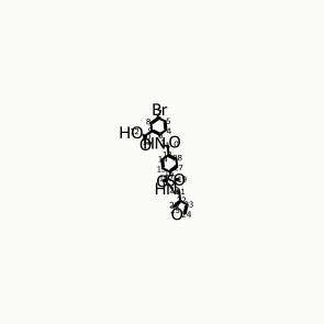 O=C(Nc1ccc(Br)cc1C(=O)O)c1ccc(S(=O)(=O)NCc2ccoc2)cc1